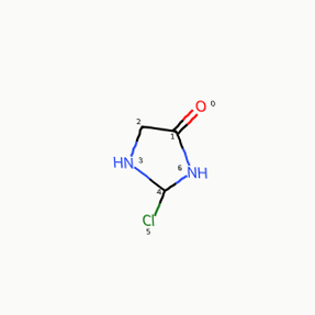 O=C1CNC(Cl)N1